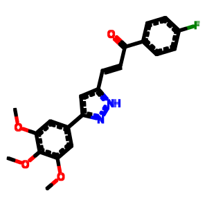 COc1cc(-c2cc(C=CC(=O)c3ccc(F)cc3)[nH]n2)cc(OC)c1OC